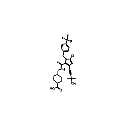 CC(C)(O)C#Cc1nc(Cl)n(Cc2ccc(C(F)(F)F)cc2)c1C(=O)NC[C@H]1CC[C@H](C(=O)O)CC1